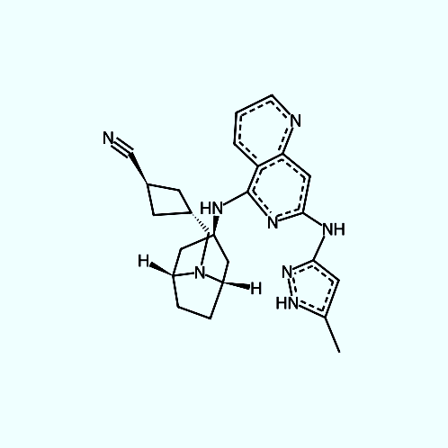 Cc1cc(Nc2cc3ncccc3c(N[C@@H]3C[C@H]4CC[C@@H](C3)N4C[C@H]3C[C@H](C#N)C3)n2)n[nH]1